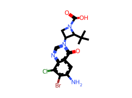 CC(C)(C)C1C(n2cnc3c(Cl)c(Br)c(N)cc3c2=O)CN1C(=O)O